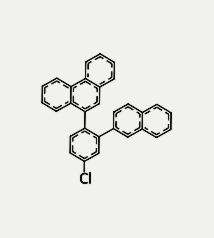 Clc1ccc(-c2cc3ccccc3c3ccccc23)c(-c2ccc3ccccc3c2)c1